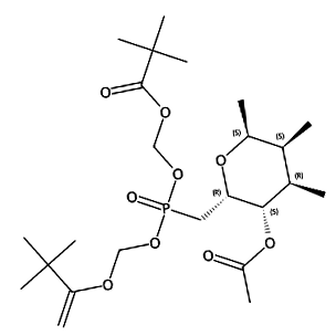 C=C(OCOP(=O)(C[C@@H]1O[C@@H](C)[C@@H](C)[C@@H](C)[C@@H]1OC(C)=O)OCOC(=O)C(C)(C)C)C(C)(C)C